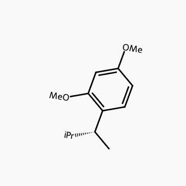 COc1ccc([C@H](C)C(C)C)c(OC)c1